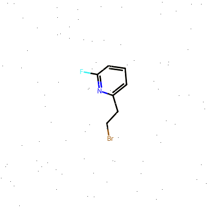 Fc1cccc(CCBr)n1